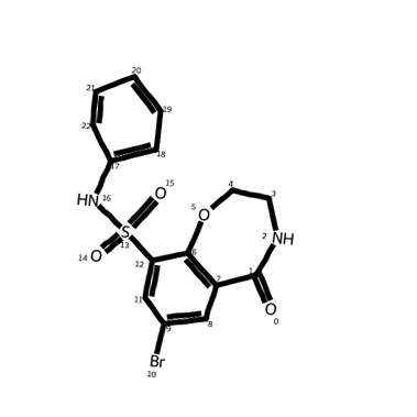 O=C1NCCOc2c1cc(Br)cc2S(=O)(=O)Nc1ccccc1